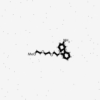 COCCOCCOCCn1c2ccccc2c2cc(N)ccc21